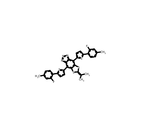 CC(C)=C1Sc2c(c(-c3ccc(-c4ccc(C)cc4F)s3)c3nsnc3c2-c2ccc(-c3ccc(C)cc3F)s2)S1